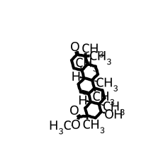 COC(=O)[C@]1(C)C[C@@H]2C3=CC[C@@H]4[C@@]5(C)CCC(=O)C(C)(C)C5CC[C@@]4(C)[C@]3(C)CC[C@@]2(C)[C@@H](O)C1